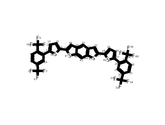 FC(F)(F)c1ccc(C(F)(F)F)c(-c2ccc(-c3cc4cc5cc(-c6ccc(-c7cc(C(F)(F)F)ccc7C(F)(F)F)s6)sc5cc4s3)s2)c1